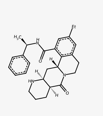 CCc1cc2c(c(C(=O)N[C@H](C)c3ccccc3)c1)[C@H]1C[C@@H]3NCCC[C@@H]3C(=O)N1CC2